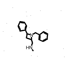 CNCC1CC(c2ccccc2)N1Cc1ccccc1